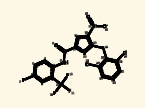 O=C(Nc1ccc(F)cc1C(F)(F)F)c1cc([N+](=O)[O-])c(Sc2c(Cl)cncc2Cl)s1